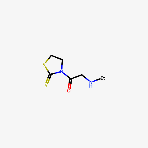 CCNCC(=O)N1CCSC1=S